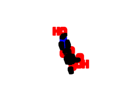 CCOc1ccc(S(=O)(=O)N2CCN(CCO)CC2)cc1C(=O)O